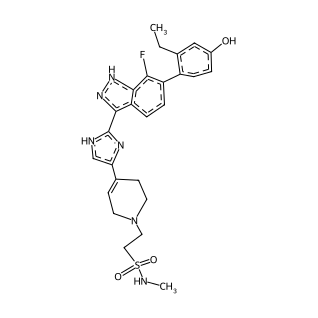 CCc1cc(O)ccc1-c1ccc2c(-c3nc(C4=CCN(CCS(=O)(=O)NC)CC4)c[nH]3)n[nH]c2c1F